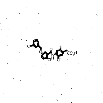 O=C(O)Cc1cc(Cl)c(NC(=O)c2cc(OCc3cccc(Cl)c3)ccc2Cl)cc1F